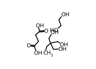 CCC(CO)(CO)CO.O=C(O)CCC(=O)O.OCCO